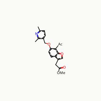 COC(=O)Cc1coc2c(C(C)=O)c(OCc3ccc(C)nc3C)ccc12